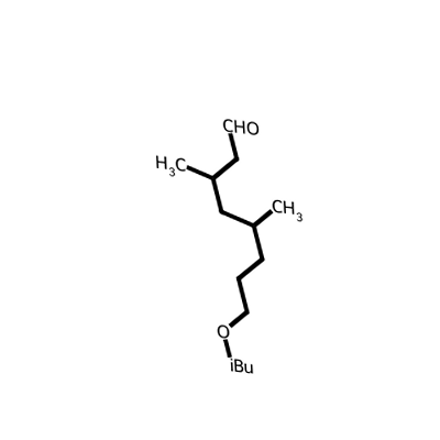 CCC(C)OCCCC(C)CC(C)CC=O